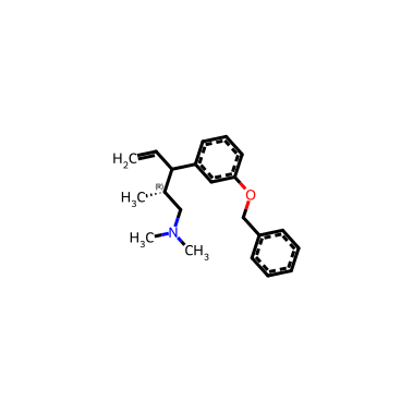 C=CC(c1cccc(OCc2ccccc2)c1)[C@@H](C)CN(C)C